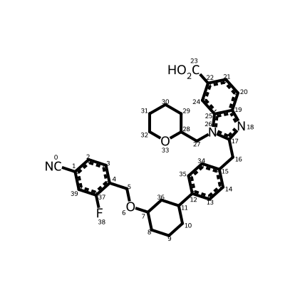 N#Cc1ccc(COC2CCCC(c3ccc(Cc4nc5ccc(C(=O)O)cc5n4CC4CCCCO4)cc3)C2)c(F)c1